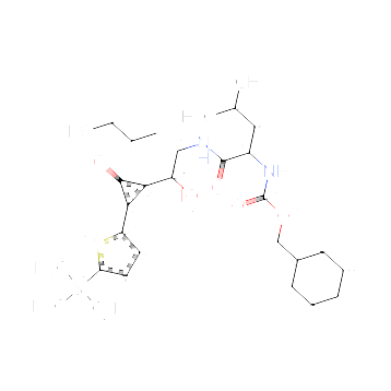 CCCC[C@H](NC(=O)C(CC(C)C)NC(=O)OCC1CCCCC1)C(O)c1c(-c2ccc([Si](C)(C)C)s2)c1=O